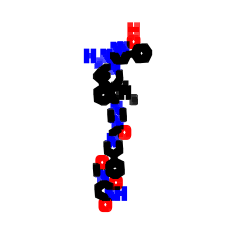 C[C@H]1CCN(c2cc(-c3ccccc3O)nnc2N)CC2CC(c3cccc(CN4CCN(C(=O)CN5CCC(c6cccc7c6OCCN7C6CCC(=O)NC6=O)CC5)CC4)c3)(C2)C1